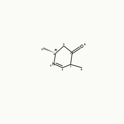 CC1C=N[C@H](C)CC1=O